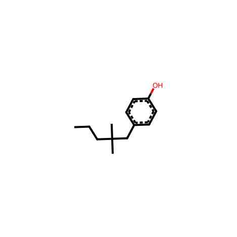 CCCC(C)(C)Cc1ccc(O)cc1